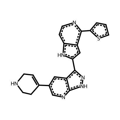 C1=C(c2cnc3[nH]nc(-c4cc5c(-c6cccs6)nccc5[nH]4)c3c2)CCNC1